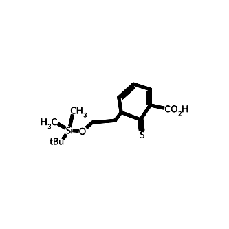 CC(C)(C)[Si](C)(C)OCCC1C=CC=C(C(=O)O)C1=S